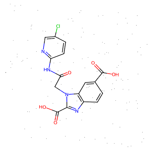 O=C(Cn1c(C(=O)O)nc2ccc(C(=O)O)cc21)Nc1ccc(Cl)cn1